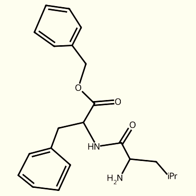 CC(C)CC(N)C(=O)NC(Cc1ccccc1)C(=O)OCc1ccccc1